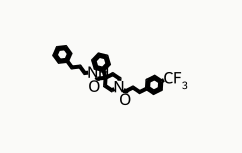 O=C(CCc1ccc(C(F)(F)F)cc1)N1CCC(C(=O)NCCCc2ccccc2)(c2ccccc2)CC1